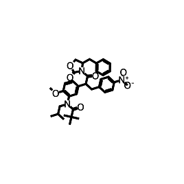 COc1ccc(C(Cc2ccc([N+](=O)[O-])cc2)C(=O)N2C(=O)OCC2Cc2ccccc2)cc1N(CC(C)C)C(=O)C(C)(C)C